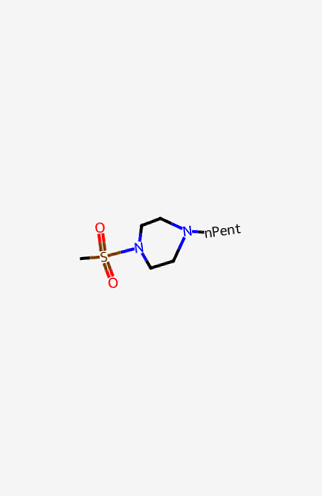 CCCCCN1CCN(S(C)(=O)=O)CC1